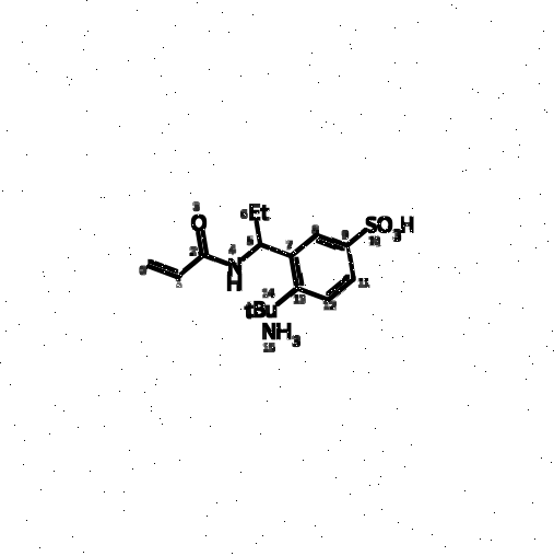 C=CC(=O)NC(CC)c1cc(S(=O)(=O)O)ccc1C(C)(C)C.N